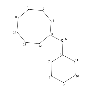 C1CCCC(SC2CCCCC2)CCC1